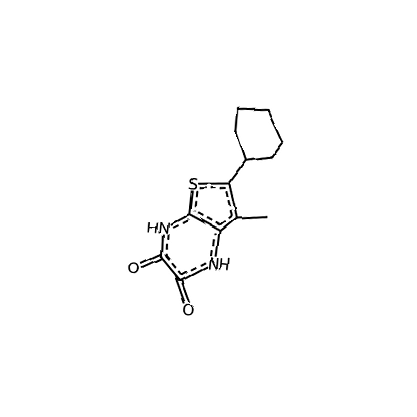 Cc1c(C2CCCCC2)sc2[nH]c(=O)c(=O)[nH]c12